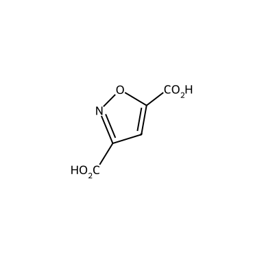 O=C(O)c1cc(C(=O)O)on1